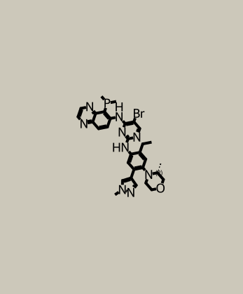 CCc1cc(N2CCOC[C@H]2C)c(-c2cnn(C)c2)cc1Nc1ncc(Br)c(Nc2ccc3nccnc3c2P(C)C)n1